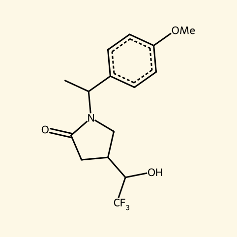 COc1ccc(C(C)N2CC(C(O)C(F)(F)F)CC2=O)cc1